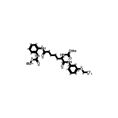 COC(=O)NC(CCCCC(=O)Nc1ccccc1NC(=O)OC(C)(C)C)C(=O)Nc1cccc(OCC(F)(F)F)c1